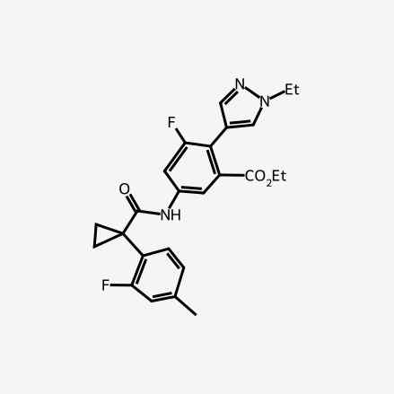 CCOC(=O)c1cc(NC(=O)C2(c3ccc(C)cc3F)CC2)cc(F)c1-c1cnn(CC)c1